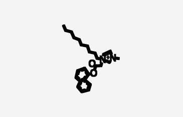 CCCCCCCCCC[N+]1(CC(=O)Oc2cccc3ccccc23)C=CN(C)C1